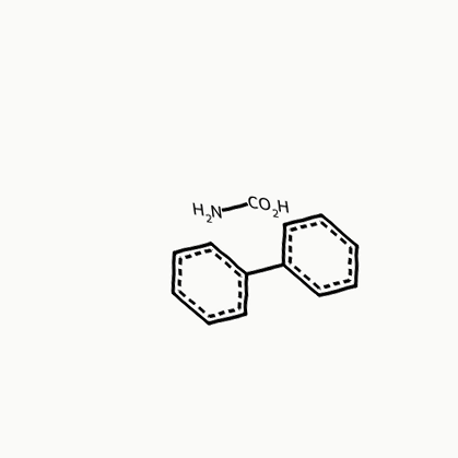 NC(=O)O.c1ccc(-c2ccccc2)cc1